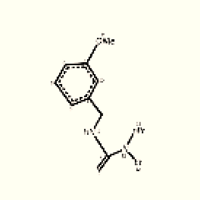 C=C(NCc1cccc(OC)c1)N(CC)CCC